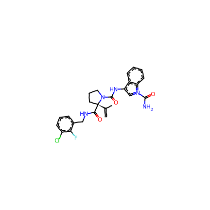 C=C(C)[C@@]1(C(=O)NCc2cccc(Cl)c2F)CCCN1C(=O)Nc1cn(C(N)=O)c2ccccc12